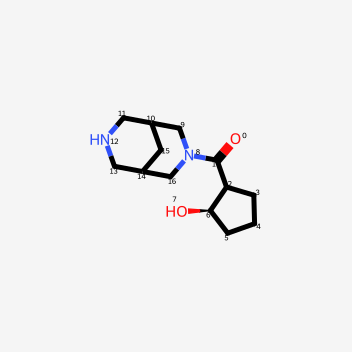 O=C(C1CCC[C@H]1O)N1CC2CNCC(C2)C1